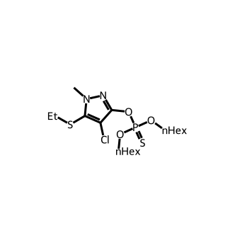 CCCCCCOP(=S)(OCCCCCC)Oc1nn(C)c(SCC)c1Cl